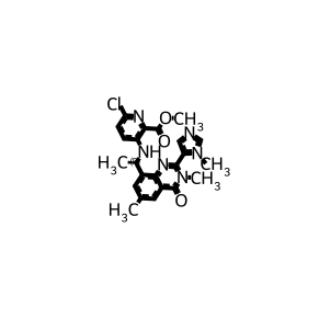 COC(=O)c1nc(Cl)ccc1N[C@H](C)c1cc(C)cc2c(=O)n(C)c(-c3cncn3C)nc12